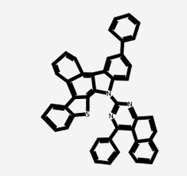 c1ccc(-c2ccc3c(c2)c2c4ccccc4c4c5ccccc5sc4c2n3-c2nc(-c3ccccc3)c3c(ccc4ccccc43)n2)cc1